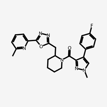 Cc1cccc(-c2nnc(CC3CCCCN3C(=O)c3nn(C)cc3-c3ccc(F)cc3)o2)n1